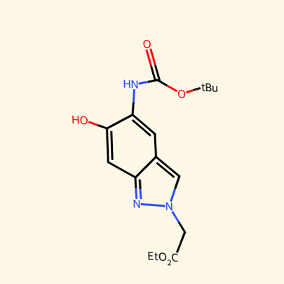 CCOC(=O)Cn1cc2cc(NC(=O)OC(C)(C)C)c(O)cc2n1